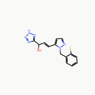 OC(C=Cc1ccnn1Cc1ccccc1F)c1nn[nH]n1